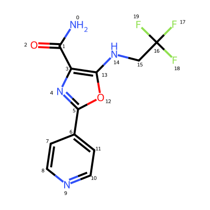 NC(=O)c1nc(-c2ccncc2)oc1NCC(F)(F)F